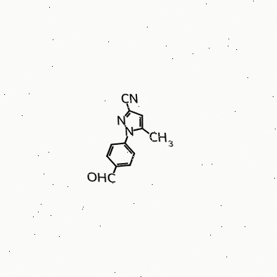 Cc1cc(C#N)nn1-c1ccc(C=O)cc1